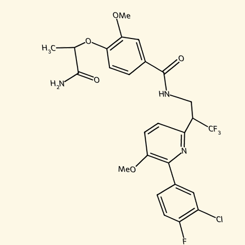 COc1cc(C(=O)NCC(c2ccc(OC)c(-c3ccc(F)c(Cl)c3)n2)C(F)(F)F)ccc1OC(C)C(N)=O